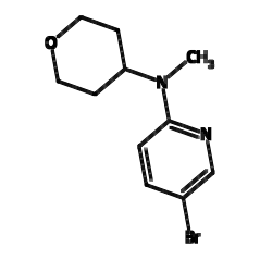 CN(c1ccc(Br)cn1)C1CCOCC1